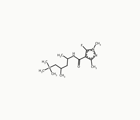 Cc1nn(C)c(F)c1C(=O)NC(C)CC(C)C[Si](C)(C)C